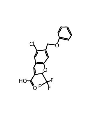 O=C(O)C1=Cc2cc(Cl)c(COc3ccccc3)cc2OC1C(F)(F)F